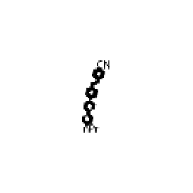 CCC[C@H]1CC[C@H]([C@H]2CC[C@H](c3ccc(CCc4ccc(C#N)cc4)cc3)CC2)CC1